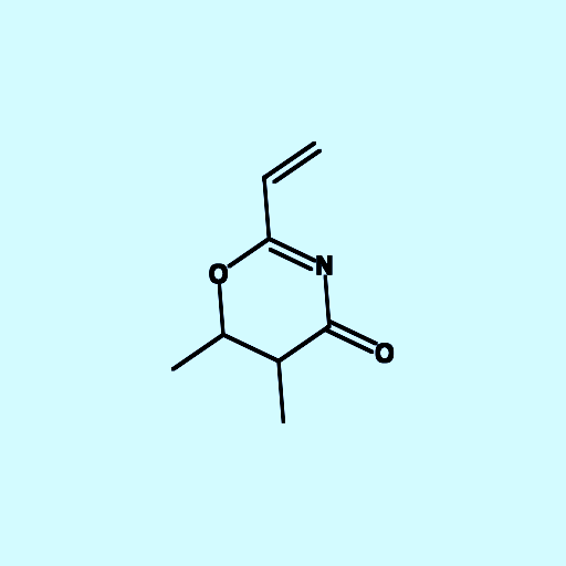 C=CC1=NC(=O)C(C)C(C)O1